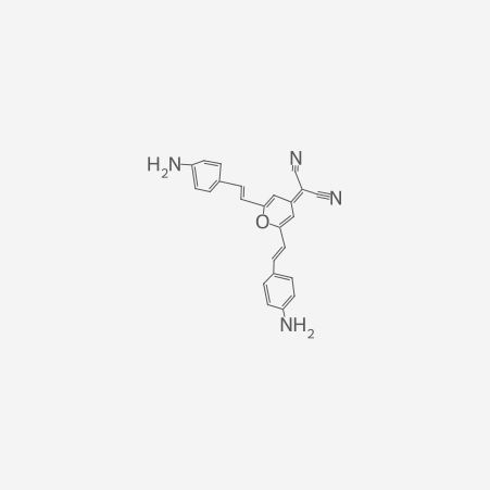 N#CC(C#N)=C1C=C(C=Cc2ccc(N)cc2)OC(C=Cc2ccc(N)cc2)=C1